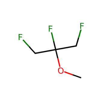 COC(F)(CF)CF